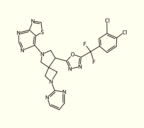 FC(F)(c1ccc(Cl)c(Cl)c1)c1nnc(C2CN(c3ncnc4ncsc34)CC23CN(c2ncccn2)C3)o1